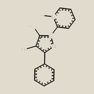 CCCc1c(-c2ccccc2)nn(-c2cccc[n+]2[O-])c1O